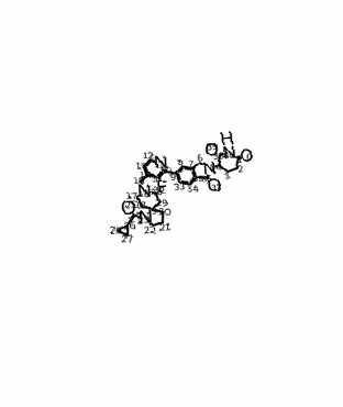 O=C1CCC(N2Cc3cc(-c4nccc(CN5CCC6(CCCN6C(=O)C6CC6)CC5)c4F)ccc3C2=O)C(=O)N1